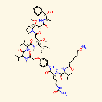 CC[C@H](C)[C@@H]([C@@H](CC(=O)N1CCC[C@H]1[C@H](OC)[C@@H](C)C(=O)N[C@H](C)[C@@H](O)c1ccccc1)OC)N(C)C(=O)[C@@H](NC(=O)C(C(C)C)N(C)C(=O)COc1ccc(NC(=O)[C@H](CCCNC(N)=O)NC(=O)C(NC(=O)CCCCCON)C(C)C)cc1)C(C)C